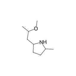 COC(C)CC1CCC(C)N1